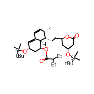 CCC(CC)C(=O)O[C@H]1C[C@H](O[Si](C)(C)C(C)(C)C)C=C2C=C[C@H](C)[C@H](CC[C@@H]3C[C@@H](O[Si](C)(C)C(C)(C)C)CC(=O)O3)[C@H]21